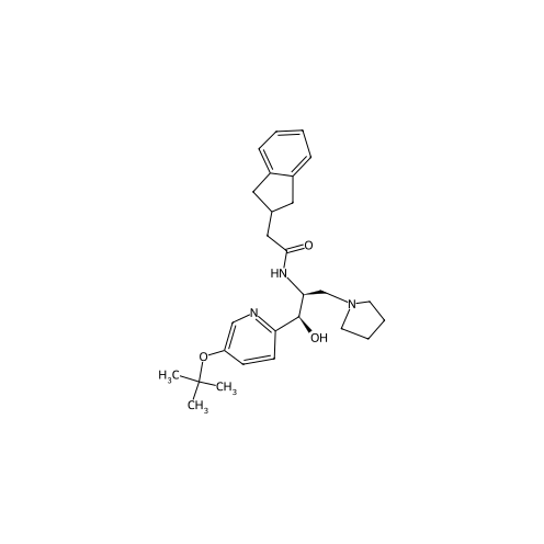 CC(C)(C)Oc1ccc([C@H](O)[C@H](CN2CCCC2)NC(=O)CC2Cc3ccccc3C2)nc1